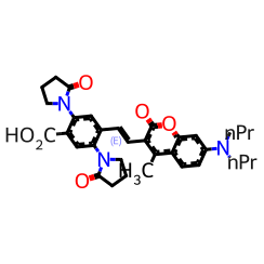 CCCN(CCC)c1ccc2c(C)c(/C=C/c3cc(N4CCCC4=O)c(C(=O)O)cc3N3CCCC3=O)c(=O)oc2c1